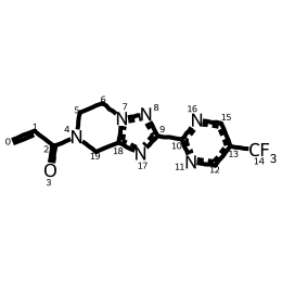 C=CC(=O)N1CCn2nc(-c3ncc(C(F)(F)F)cn3)nc2C1